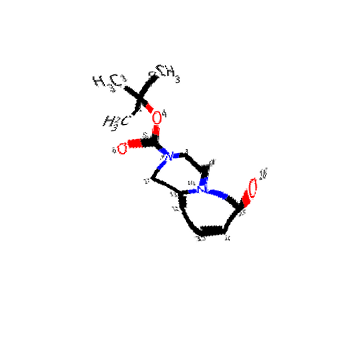 CC(C)(C)OC(=O)N1CCn2c(cccc2=O)C1